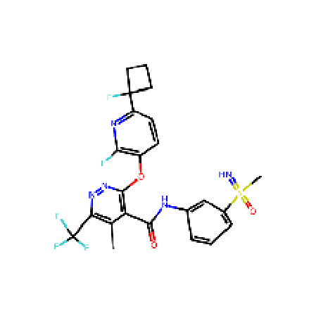 Cc1c(C(F)(F)F)nnc(Oc2ccc(C3(F)CCC3)nc2F)c1C(=O)Nc1cccc(S(C)(=N)=O)c1